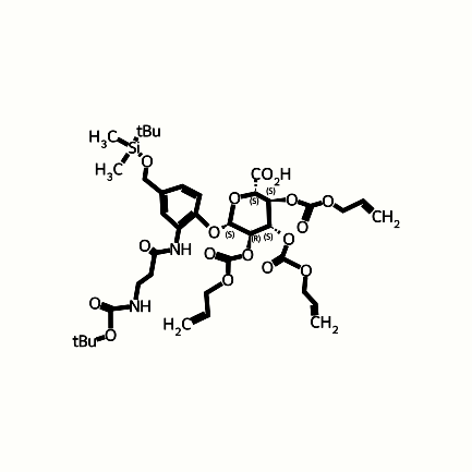 C=CCOC(=O)O[C@@H]1[C@@H](OC(=O)OCC=C)[C@H](Oc2ccc(CO[Si](C)(C)C(C)(C)C)cc2NC(=O)CCNC(=O)OC(C)(C)C)O[C@H](C(=O)O)[C@H]1OC(=O)OCC=C